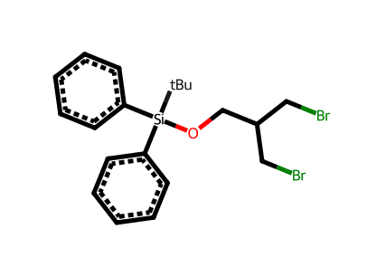 CC(C)(C)[Si](OCC(CBr)CBr)(c1ccccc1)c1ccccc1